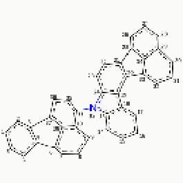 c1ccc2c(c1)-c1cccc3c(-n4c5ccccc5c5c6c(ccc54)-c4cccc5cccc-6c45)ccc-2c13